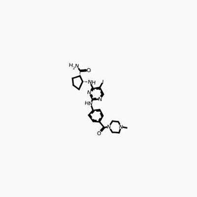 CN1CCN(C(=O)c2ccc(Nc3ncc(I)c(N[C@@H]4CCC[C@@H]4C(N)=O)n3)cc2)CC1